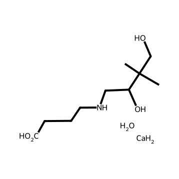 CC(C)(CO)C(O)CNCCCC(=O)O.O.[CaH2]